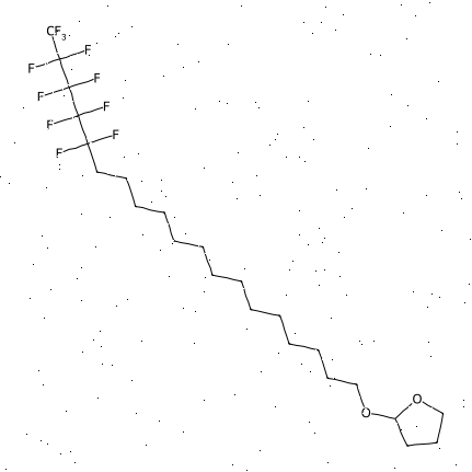 FC(F)(F)C(F)(F)C(F)(F)C(F)(F)C(F)(F)CCCCCCCCCCCCCCOC1CCCO1